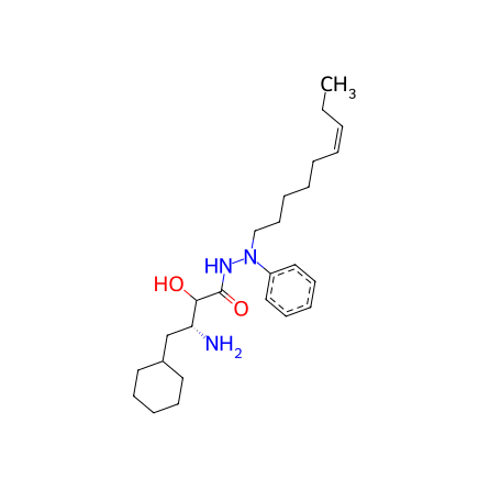 CC/C=C\CCCCCN(NC(=O)C(O)[C@H](N)CC1CCCCC1)c1ccccc1